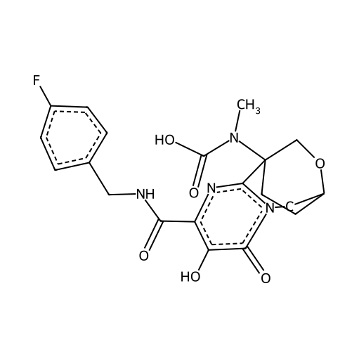 CN(C(=O)O)C12CCC(Cn3c1nc(C(=O)NCc1ccc(F)cc1)c(O)c3=O)OC2